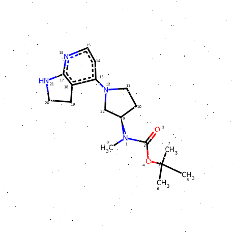 CN(C(=O)OC(C)(C)C)[C@@H]1CCN(c2ccnc3c2CCN3)C1